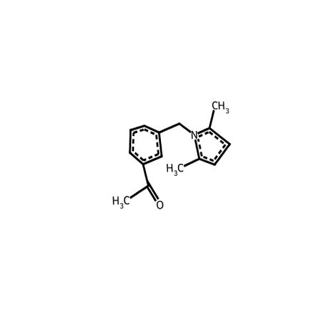 CC(=O)c1cccc(Cn2c(C)ccc2C)c1